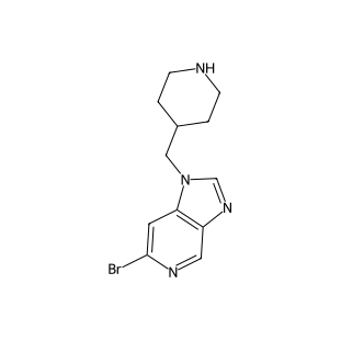 Brc1cc2c(cn1)ncn2CC1CCNCC1